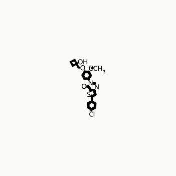 COc1cc(-n2cnc3cc(-c4ccc(Cl)cc4)sc3c2=O)ccc1OCC1(O)CCC1